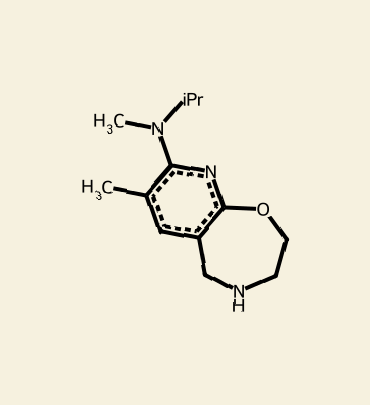 Cc1cc2c(nc1N(C)C(C)C)OCCNC2